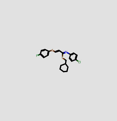 Fc1ccc(SC=CC(=Nc2ccc(Cl)cc2)SCC2CCCCC2)cc1